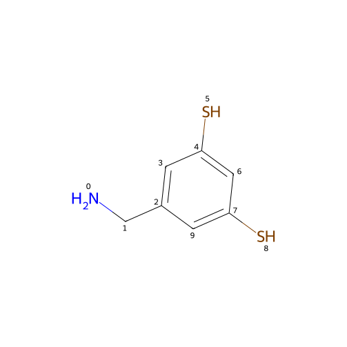 NCc1cc(S)cc(S)c1